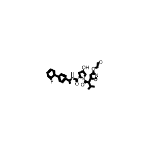 CC(NC(=O)[C@@H]1C[C@@H](O)CN1C(=O)C(c1cc(OCC=O)no1)C(C)C)c1ccc(-c2ccccc2F)cc1